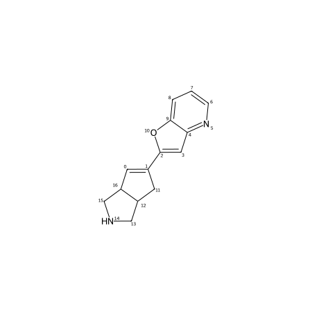 C1=C(c2cc3ncccc3o2)CC2CNCC12